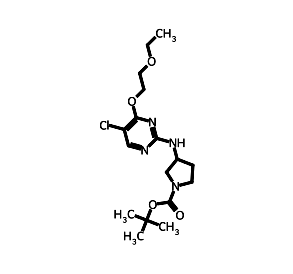 CCOCCOc1nc(NC2CCN(C(=O)OC(C)(C)C)C2)ncc1Cl